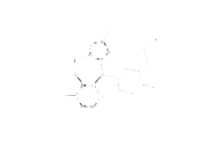 Cc1cc2c(s1)NC=c1c(F)ccnc1=C2N1CCN(C)C(CCO)C1.Cl.Cl